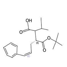 CC(C)C(C(=O)O)[C@@H](C/C=C\c1ccccc1)C(=O)OC(C)(C)C